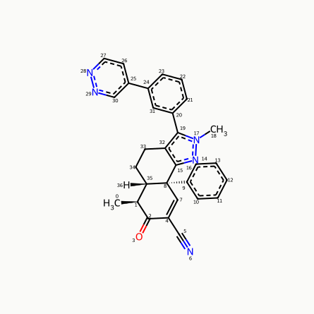 C[C@@H]1C(=O)C(C#N)=C[C@]2(c3ccccc3)c3nn(C)c(-c4cccc(-c5ccnnc5)c4)c3CC[C@@H]12